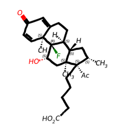 CC(=O)[C@@]1(CCCCC(=O)O)[C@@H](C)C[C@H]2[C@@H]3CCC4=CC(=O)C=C[C@]4(C)[C@@]3(F)[C@@H](O)C[C@@]21C